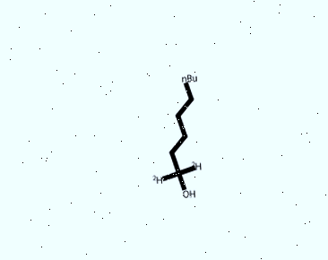 [2H]C([2H])(O)CCCCCCCC